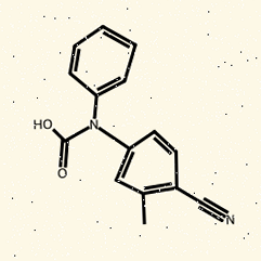 Cc1cc(N(C(=O)O)c2ccccc2)ccc1C#N